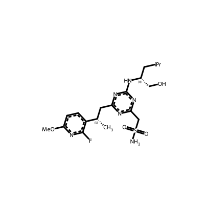 COc1ccc([C@@H](C)Cc2nc(CS(N)(=O)=O)nc(N[C@@H](CO)CC(C)C)n2)c(F)n1